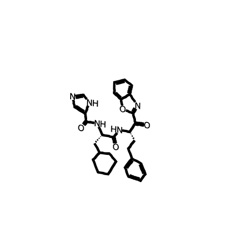 O=C(N[C@@H](CC1CCCCC1)C(=O)N[C@@H](CCc1ccccc1)C(=O)c1nc2ccccc2o1)c1cnc[nH]1